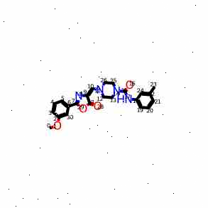 COc1cccc(C2=N/C(=C/N3CCN(C(=O)Nc4cccc(C)c4)CC3)C(=O)O2)c1